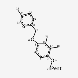 CCCCCOc1ccc(OCc2ccc(C)cc2)c(C)c1C